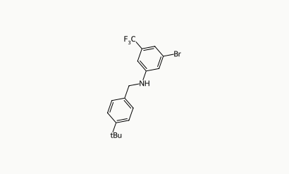 CC(C)(C)c1ccc(CNc2cc(Br)cc(C(F)(F)F)c2)cc1